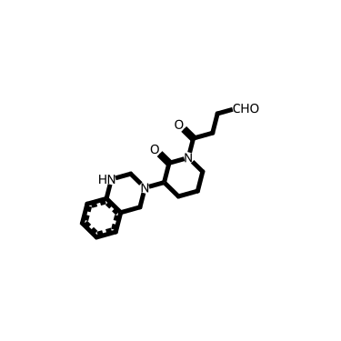 O=CCCC(=O)N1CCCC(N2CNc3ccccc3C2)C1=O